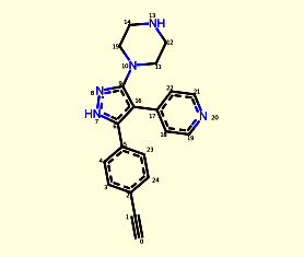 C#Cc1ccc(-c2[nH]nc(N3CCNCC3)c2-c2ccncc2)cc1